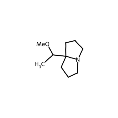 COC(C)C12CCCN1CCC2